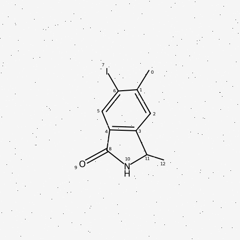 Cc1cc2c(cc1I)C(=O)NC2C